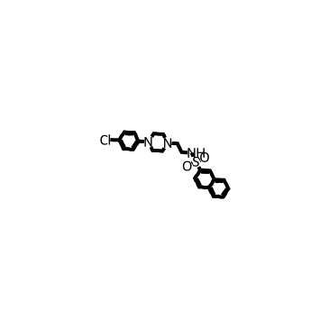 O=S(=O)(NCCN1CCN(c2ccc(Cl)cc2)CC1)c1ccc2ccccc2c1